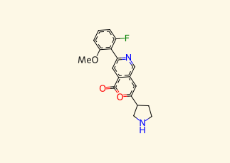 COc1cccc(F)c1-c1cc2c(=O)oc(C3CCNC3)cc2cn1